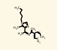 C=C(/N=C(/N)c1ncn(CCCCC)c1C)C(/C=C\C)=C/C